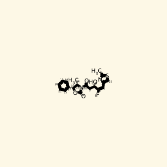 Cc1nc(/C=C(/F)[C@@H](O)CC(=O)N2C(=O)O[C@H](c3ccccc3)[C@@H]2C)cs1